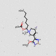 CCCCCCCCCCCCCCCC(OC(=O)C(C)C)[N+]1(C)CCC=C(c2nsnc2OCCCCCC)C1.[I-]